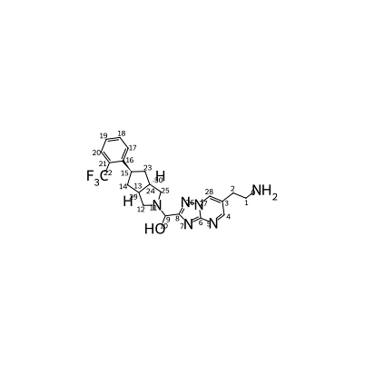 NCCc1cnc2nc(C(O)N3C[C@H]4C[C@@H](c5ccccc5C(F)(F)F)C[C@H]4C3)nn2c1